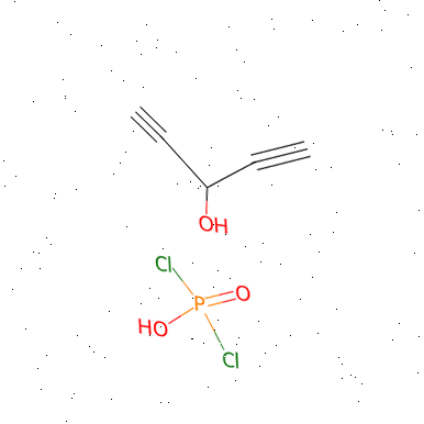 C#CC(O)C#C.O=P(O)(Cl)Cl